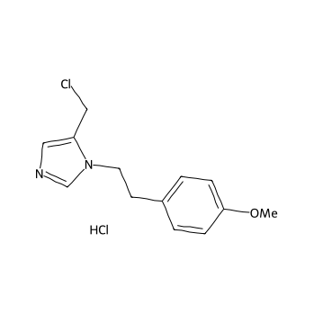 COc1ccc(CCn2cncc2CCl)cc1.Cl